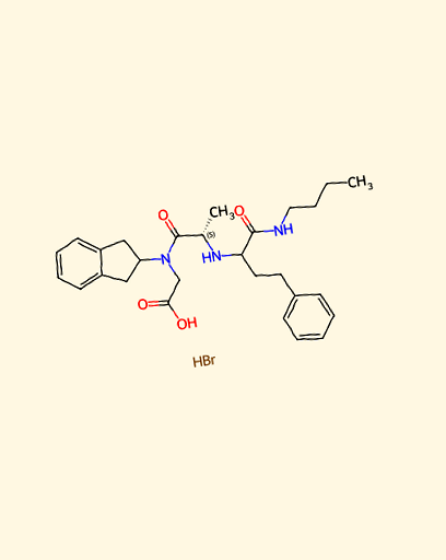 Br.CCCCNC(=O)C(CCc1ccccc1)N[C@@H](C)C(=O)N(CC(=O)O)C1Cc2ccccc2C1